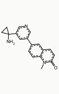 Cn1c(=O)ccc2cc(-c3cncc(C4(N)CC4)c3)ccc21